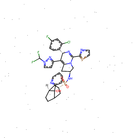 O=S(=O)(N[C@H]1CC2=C(c3ccn(C(F)F)n3)[C@H](c3ccc(F)cc3Cl)N=C(c3nccs3)N2C1)[C@@H]1CC2CC[C@@H](C1)[C@@]2(O)c1ccccn1